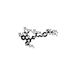 CCN(C(=O)c1cc(F)ccc1-c1cc(C2CN([C@H](CCCN3CCN(C(=O)OC(C)(C)C)CC3)C(C)C)C2)cn2c(C)ncc12)C(C)C